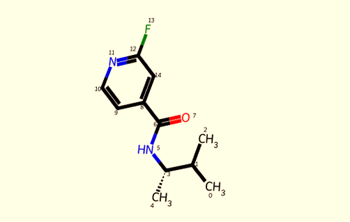 CC(C)[C@H](C)NC(=O)c1ccnc(F)c1